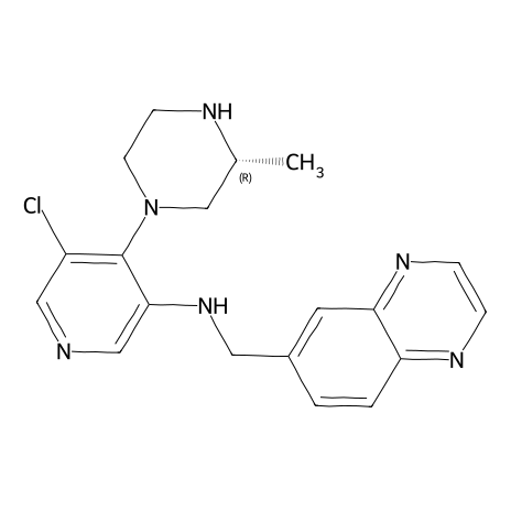 C[C@@H]1CN(c2c(Cl)cncc2NCc2ccc3nccnc3c2)CCN1